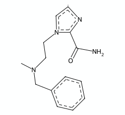 CN(CCn1c[c]nc1C(N)=O)Cc1ccccc1